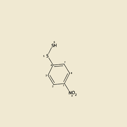 O=[N+]([O-])c1ccc(SS)cc1